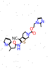 Cc1nccn1CCOC(=O)N1CCc2c(sc(NC(=O)CC(C)c3ccccn3)c2C#N)C1